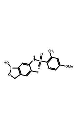 COc1ccc(S(=O)(=O)Nc2cc3c(cc2F)COB3O)c(C)c1